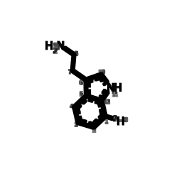 [2H]c1cccc2c(CCN)c[nH]c12